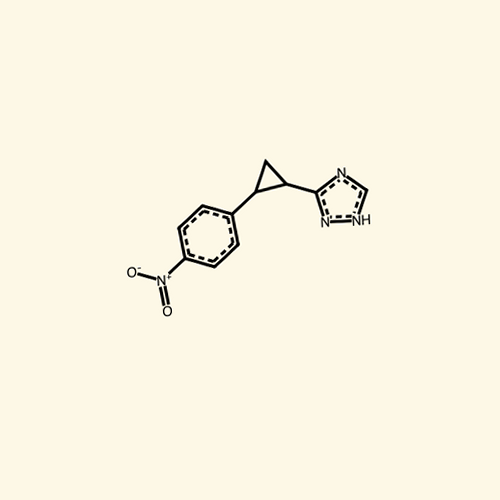 O=[N+]([O-])c1ccc(C2CC2c2nc[nH]n2)cc1